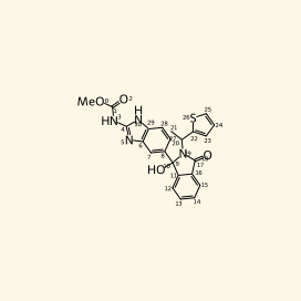 COC(=O)Nc1nc2cc(C3(O)c4ccccc4C(=O)N3C(C)c3cccs3)ccc2[nH]1